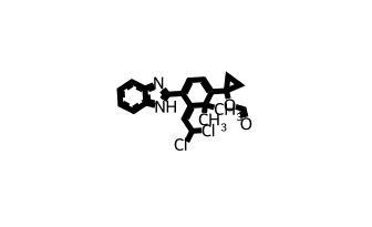 CC1(C)C(=CC(Cl)Cl)C(c2nc3ccccc3[nH]2)=CC=C1C1(OC=O)CC1